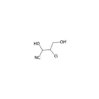 N#CC(O)C(Cl)CO